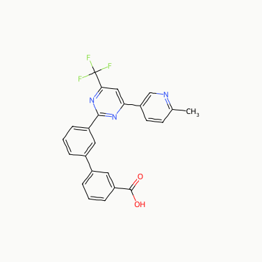 Cc1ccc(-c2cc(C(F)(F)F)nc(-c3cccc(-c4cccc(C(=O)O)c4)c3)n2)cn1